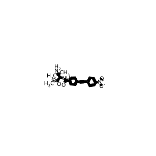 COC(=O)C(NC(=O)c1ccc(C#Cc2ccc([N+](=O)[O-])cc2)cc1)C(C)(C)N